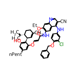 C=C(C)[C@@H]1CCC(C)=C[C@H]1c1c(O)cc(CCCCC)cc1O/C=C/C(=O)Nc1cc2c(Nc3ccc(OCc4ccccc4)c(Cl)c3)c(C#N)cnc2cc1OCC